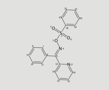 O=S(=O)(O/N=C(\c1ccccc1)c1ccccn1)c1ccccc1